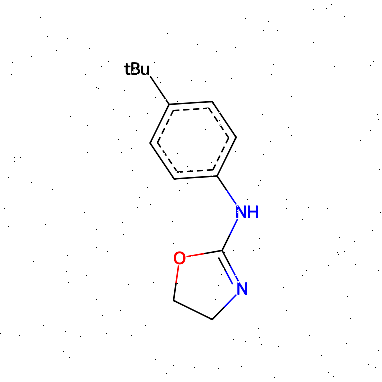 CC(C)(C)c1ccc(NC2=NCCO2)cc1